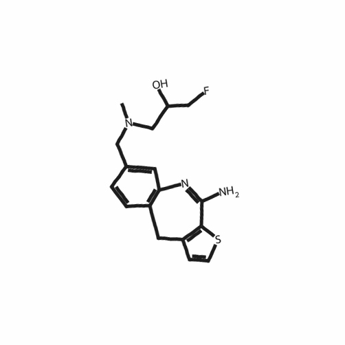 CN(Cc1ccc2c(c1)N=C(N)c1sccc1C2)CC(O)CF